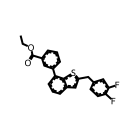 CCOC(=O)c1cccc(-c2cccc3cc(Cc4ccc(F)c(F)c4)sc23)c1